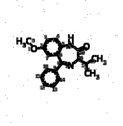 COc1ccc2c(c1)C(c1ccccc1)=NC(C(C)C)C(=O)N2